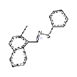 Cc1ccc2ccccc2c1/C=N/Sc1ccccc1